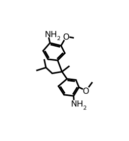 COc1cc(C(C)(CC(C)C)c2ccc(N)c(OC)c2)ccc1N